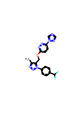 Cc1nnn(-c2ccc(C(F)F)cc2)c1COc1ccc(-n2cncn2)nn1